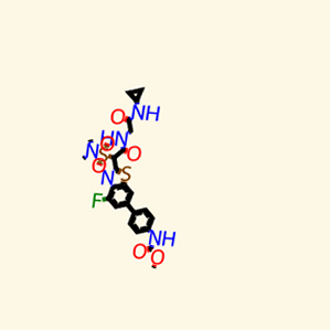 COC(=O)Nc1ccc(-c2cc(F)c3nc(C(C(=O)NCC(=O)NC4CC4)S(=O)(=O)N(C)C)sc3c2)cc1